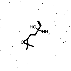 C=C[C@@](N)(O)CCC1OC1(C)C